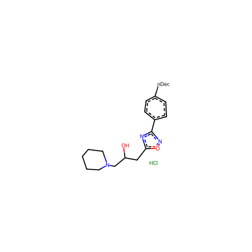 CCCCCCCCCCc1ccc(-c2noc(CC(O)CN3CCCCC3)n2)cc1.Cl